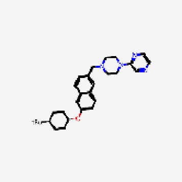 CC(C)(C)[C@H]1CC[C@H](Oc2ccc3cc(CN4CCN(c5cnccn5)CC4)ccc3c2)CC1